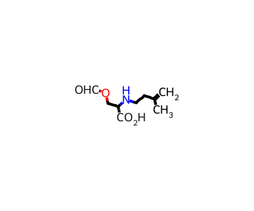 C=C(C)CCNC(COC=O)C(=O)O